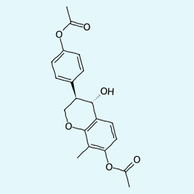 CC(=O)Oc1ccc([C@@H]2COc3c(ccc(OC(C)=O)c3C)[C@H]2O)cc1